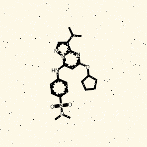 CC(C)c1cnn2c(Nc3ccc(S(=O)(=O)N(C)C)cc3)cc(OC3CCCC3)nc12